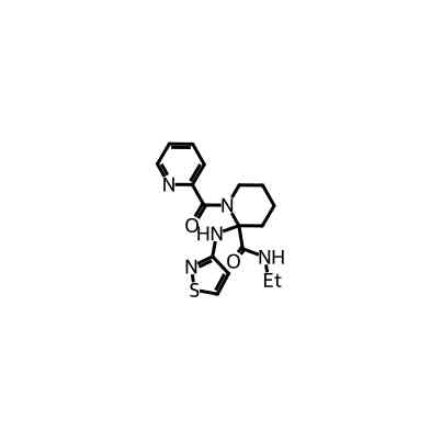 CCNC(=O)C1(Nc2ccsn2)CCCCN1C(=O)c1ccccn1